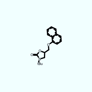 CC(C)(C)N1CC(COc2cccc3ccccc23)OC1=O